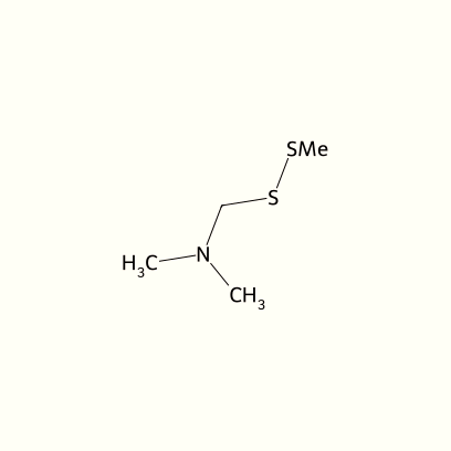 CSSCN(C)C